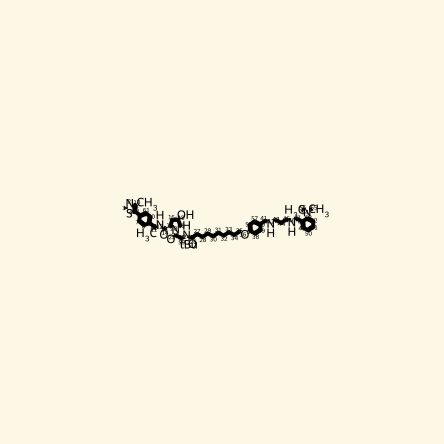 Cc1ncsc1-c1ccc([C@H](C)NC(=O)[C@@H]2C[C@@H](O)CN2C(=O)[C@@H](NC(=O)CCCCCCCCCOc2ccc(CNCCCNCc3ccccc3N(C)C)cc2)C(C)(C)C)cc1